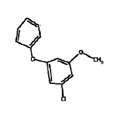 COc1cc(Cl)cc(Oc2c[c]ccc2)c1